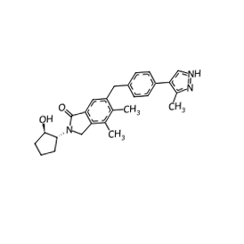 Cc1n[nH]cc1-c1ccc(Cc2cc3c(c(C)c2C)CN([C@@H]2CCC[C@H]2O)C3=O)cc1